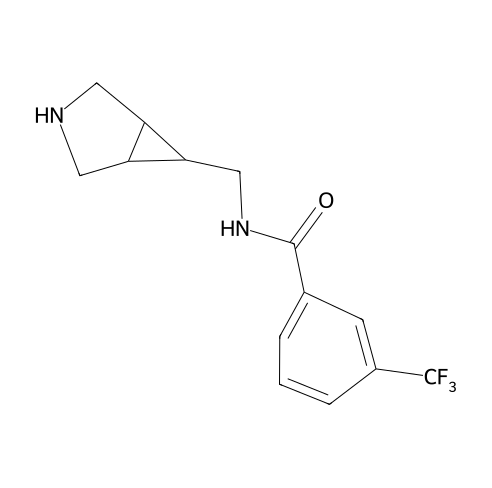 O=C(NCC1C2CNCC21)c1cccc(C(F)(F)F)c1